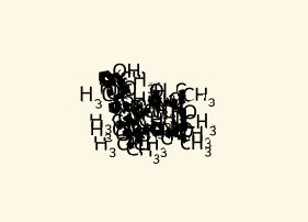 CC[C@H](C)[C@@H]([C@@H](CC(=O)N1CCC[C@H]1[C@H](OC)[C@@H](C)C(=O)N[C@H](C)[C@@H](O)c1ccccc1)OC)N(C)C(=O)[C@@H](NC(=O)[C@H](C(C)C)N(C)C(=O)OCc1ccc(NC(=O)[C@H](CC(C)C)NC(=O)[C@H](C)NC(=O)[C@@H](CCC(C)C)NC(=O)CCN2C(=O)C=CC2=O)cc1)C(C)C